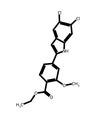 CCOC(=O)c1ccc(-c2cc3cc(Cl)c(Cl)cc3[nH]2)cc1OC